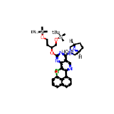 CC(C)(C)[Si](C)(C)OCCC(CO[Si](C)(C)C(C)(C)C)Oc1nc(N2C[C@H]3CC[C@@H](C2)N3C(=O)O)c2cnc(-c3cccc4cccc(Cl)c34)c(F)c2n1